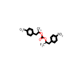 O=C(O[C@@H](Cc1ccc([N+](=O)[O-])cc1)C(F)(F)F)O[C@@H](Cc1ccc([N+](=O)[O-])cc1)C(F)(F)F